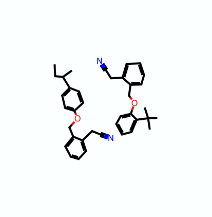 CC(C)(C)c1ccccc1OCc1ccccc1CC#N.CCC(C)c1ccc(OCc2ccccc2CC#N)cc1